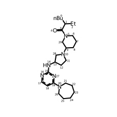 CCCCC(CC)C(=O)N1CCCC(N2CCC(Nc3nccc(N4CCCCCC4)n3)C2)C1